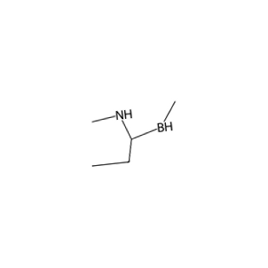 CBC(CC)NC